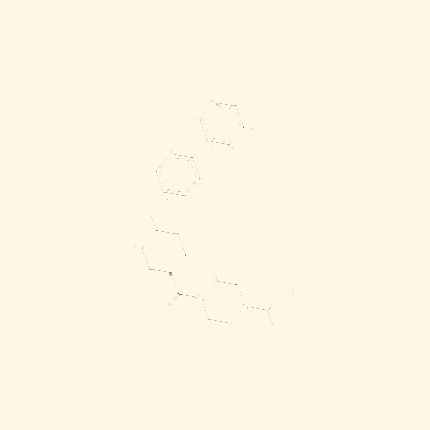 CC(C)N1CCN(C(=O)C2CCC(Oc3ccc(-c4cccnc4)cc3)CC2)CC1